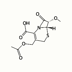 CO[C@H]1C(=O)N2C(C(=O)O)=C(COC(C)=O)CS[C@@H]12